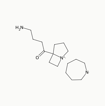 C1CCC[N]CC1.NCCCC(=O)C12CCC[N+]1CC2